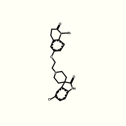 CC(C)N1C(=O)CCc2cc(OCCN3CCC4(CC3)C(=O)Nc3ccc(Cl)cc34)ccc21